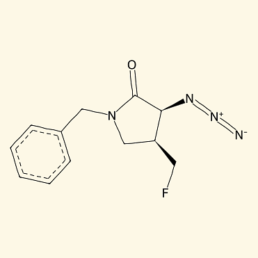 [N-]=[N+]=N[C@@H]1C(=O)N(Cc2ccccc2)C[C@@H]1CF